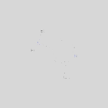 CCN(CC)c1ccnc(C(C)(C)C)c1